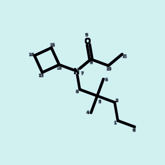 CCCC(C)(C)CN(C(=O)CC)C1CCC1